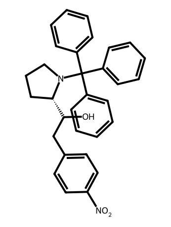 O=[N+]([O-])c1ccc(CC(O)[C@@H]2CCCN2C(c2ccccc2)(c2ccccc2)c2ccccc2)cc1